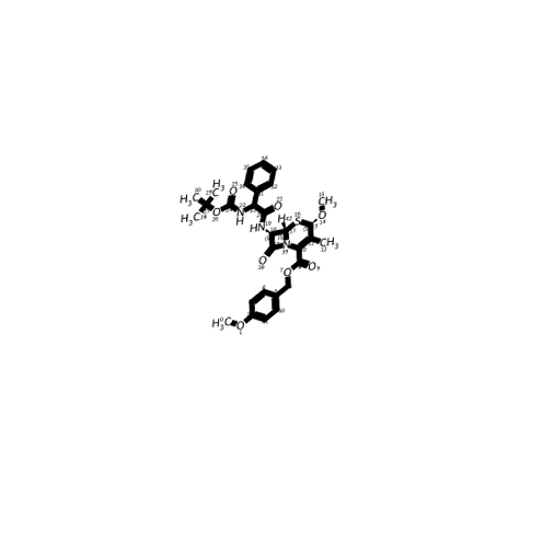 COc1ccc(COC(=O)C2=C(C)[C@@H](OC)S[C@H]3[C@@H](NC(=O)C(NC(=O)OC(C)(C)C)c4ccccc4)C(=O)N23)cc1